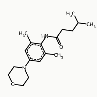 Cc1cc(N2CCOCC2)cc(C)c1NC(=O)CCC(C)C